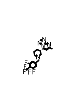 Cc1cc([C@H]2CCCN(Cc3cc(F)c(C(F)(F)F)c(F)c3)C2)n2ncnc2n1